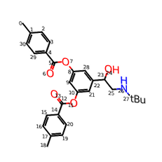 Cc1ccc(C(=O)Oc2cc(OC(=O)c3ccc(C)cc3)cc(C(O)CNC(C)(C)C)c2)cc1